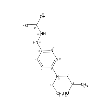 CCN(CC(C)O)c1ccc(NNC(=O)O)nn1